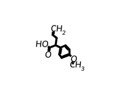 C=CCC(C(=O)O)c1ccc(OC)cc1